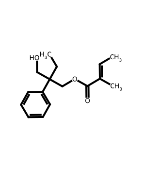 CC=C(C)C(=O)OCC(CC)(CO)c1ccccc1